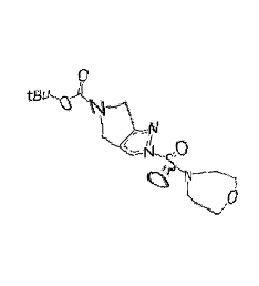 CC(C)(C)OC(=O)N1Cc2cn(S(=O)(=O)N3CCOCC3)nc2C1